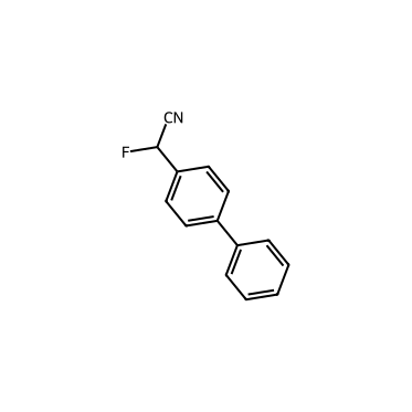 N#CC(F)c1ccc(-c2ccccc2)cc1